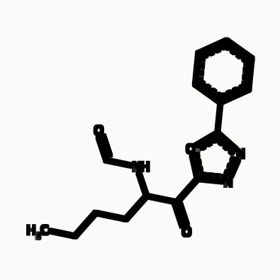 CCCCC(NC=O)C(=O)c1nnc(-c2ccccc2)o1